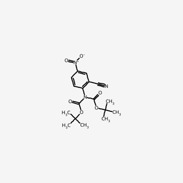 CC(C)(C)OC(=O)N(C(=O)OC(C)(C)C)c1ccc([N+](=O)[O-])cc1C#N